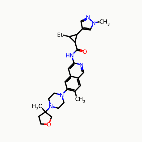 CCC1C(C(=O)Nc2cc3cc(N4CCN(C5(C)CCOC5)CC4)c(C)cc3cn2)C1c1cnn(C)c1